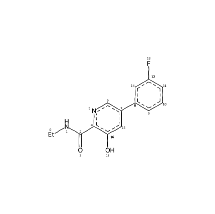 CCNC(=O)c1ncc(-c2cccc(F)c2)cc1O